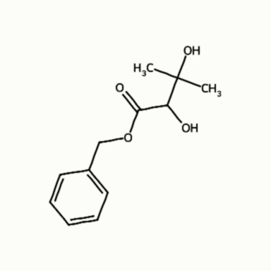 CC(C)(O)C(O)C(=O)OCc1ccccc1